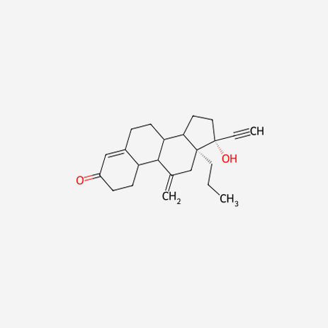 C#C[C@]1(O)CCC2C3CCC4=CC(=O)CCC4C3C(=C)C[C@@]21CCC